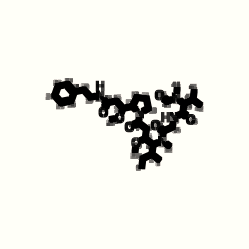 CCC(C)C(C(CC(=O)N1CCCC1C(CC(=O)NCCC1=CCCC=C1)OC)OC)N(C)C(=O)CNC(=O)C(C(C)C)N(C)C=O